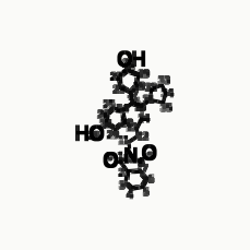 O=C1c2ccccc2C(=O)N1CCCCC(=C(c1ccc(O)cc1)c1ccc(O)cc1)C1CCCC1